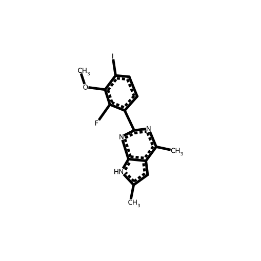 COc1c(I)ccc(-c2nc(C)c3cc(C)[nH]c3n2)c1F